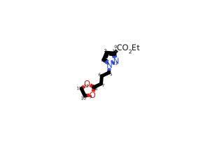 CCOC(=O)c1ccn(CCCC2OCCO2)n1